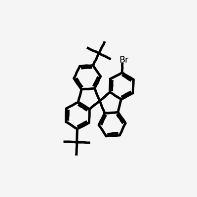 CC(C)(C)c1ccc2c(c1)C1(c3ccccc3-c3ccc(Br)cc31)c1cc(C(C)(C)C)ccc1-2